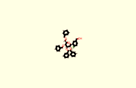 OCc1ccc(Cl)c([C@@H]2O[C@H](COCc3ccccc3)[C@@H](OCc3ccccc3)[C@H](OCc3ccccc3)[C@H]2OCc2ccccc2)c1